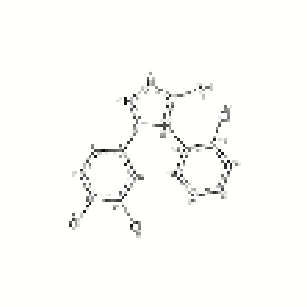 Sc1nnc(-c2ccc(Cl)c(Cl)c2)n1-c1ccccc1Cl